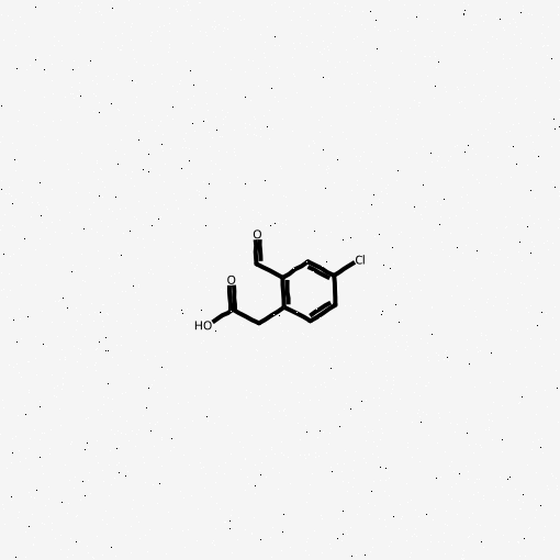 O=Cc1cc(Cl)ccc1CC(=O)O